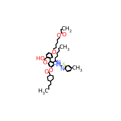 C=CC(=O)OCCCCCCOc1ccc(C(=O)O)c(-c2ccc(OC(=O)C3CCC(CCCC)CC3)cc2C(CCCCCC)=NNc2nc3ccc(C)cc3s2)c1